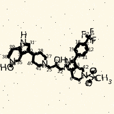 CS(=O)(=O)N1CCc2c(c(-c3ccc(C(F)(F)F)cc3)nn2CC(O)CN2CCC(c3c[nH]c4c3CN(O)C=C4)CC2)C1